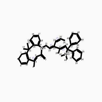 C=C1/C=C(\C)C2=C(CCC=C2)C(C)(C)c2ccccc2N1C/C=C(\C=C/C)C(/C)=C/C(c1ccccc1)(c1ccccc1)N(C)C